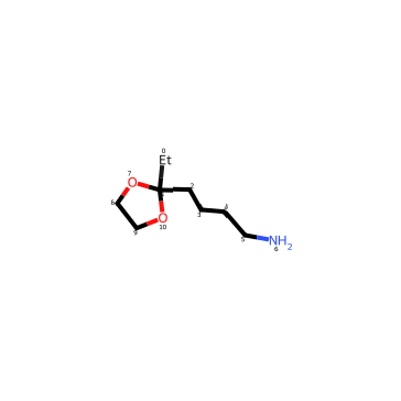 CCC1(CCCCN)OCCO1